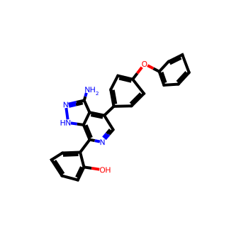 Nc1n[nH]c2c(-c3ccccc3O)ncc(-c3ccc(Oc4ccccc4)cc3)c12